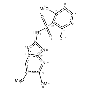 COc1cn2nc(NS(=O)(=O)c3c(C(F)(F)F)ccnc3OC)nc2nc1OC